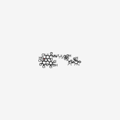 Cc1cn([C@H]2CC(C)[C@@H](COP(=O)(O)OCCCCCCNC(=O)c3cc(Cl)c(C(=O)O)c(-c4c5cc(Cl)c(=O)c(Cl)c-5oc5c(Cl)c(O)c(Cl)cc45)c3Cl)O2)c(=O)[nH]c1=O